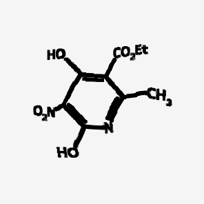 CCOC(=O)c1c(C)nc(O)c([N+](=O)[O-])c1O